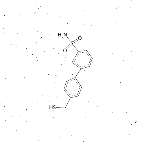 NS(=O)(=O)c1cccc(-c2ccc(CS)cc2)c1